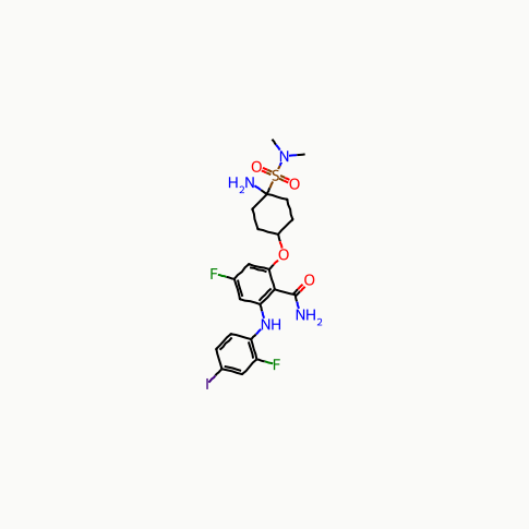 CN(C)S(=O)(=O)C1(N)CCC(Oc2cc(F)cc(Nc3ccc(I)cc3F)c2C(N)=O)CC1